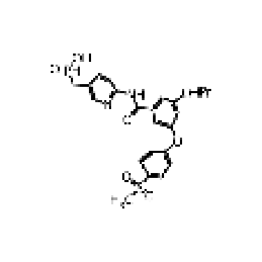 CC(C)Oc1cc(Oc2ccc(S(C)(=O)=O)cc2)cc(C(=O)Nc2ccc(C[PH](=O)O)cn2)c1